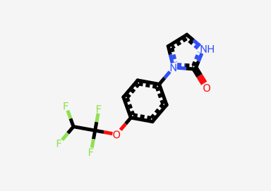 O=c1[nH]ccn1-c1ccc(OC(F)(F)C(F)F)cc1